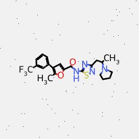 Cc1oc(C(=O)Nc2nc(CC(C)N3CCCC3)ns2)cc1-c1cccc(C(F)(F)F)c1